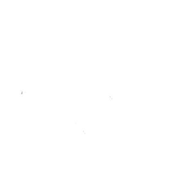 CC(C)Oc1cccc(CC(=O)N2CCCC(c3ccc(Cl)c(Cl)c3)C2CCN2CCC(Cc3ccccc3)CC2)c1